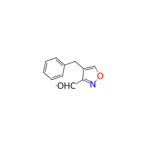 O=[C]c1nocc1Cc1ccccc1